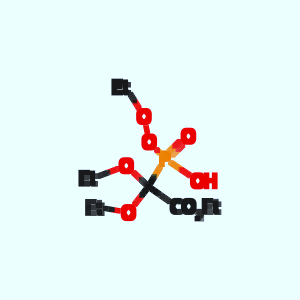 CCOOP(=O)(O)C(OCC)(OCC)C(=O)OCC